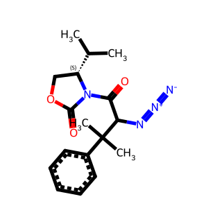 CC(C)[C@H]1COC(=O)N1C(=O)C(N=[N+]=[N-])C(C)(C)c1ccccc1